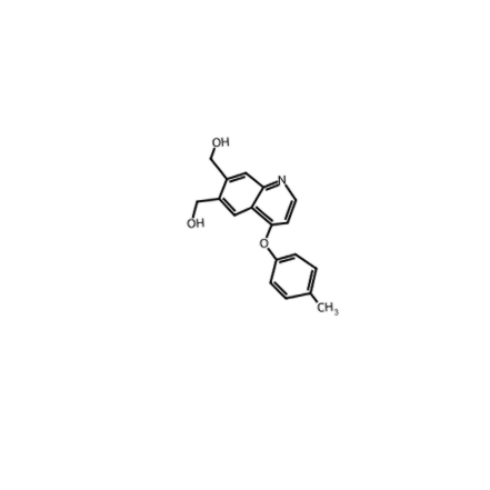 Cc1ccc(Oc2ccnc3cc(CO)c(CO)cc23)cc1